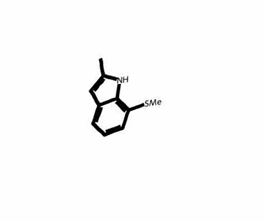 CSc1cccc2cc(C)[nH]c12